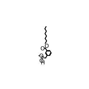 CCCCCCCCOC(=O)c1cccc(C[PH](=O)OC)c1